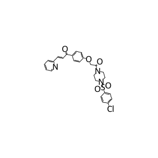 O=C(C=Cc1ccccn1)c1ccc(OCC(=O)N2CCN(S(=O)(=O)c3ccc(Cl)cc3)CC2)cc1